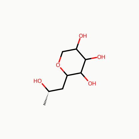 C[C@H](O)CC1OCC(O)C(O)C1O